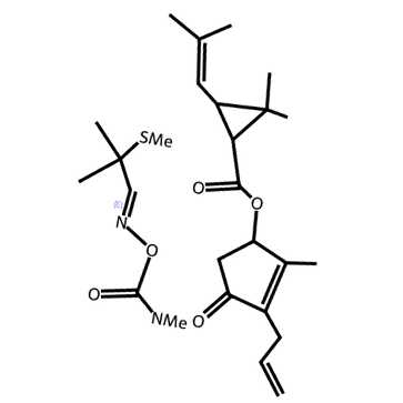 C=CCC1=C(C)C(OC(=O)C2C(C=C(C)C)C2(C)C)CC1=O.CNC(=O)O/N=C/C(C)(C)SC